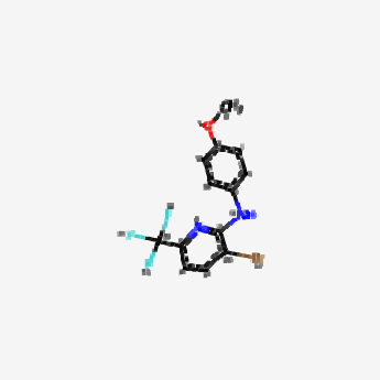 COc1ccc(Nc2nc(C(F)(F)F)ccc2Br)cc1